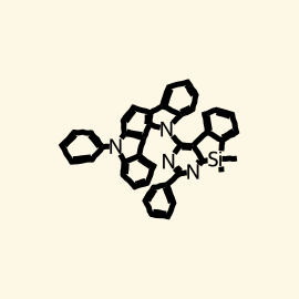 C[Si]1(C)c2ccccc2-c2c(-n3c4ccccc4c4ccc5c(c6ccccc6n5-c5ccccc5)c43)nc(-c3ccccc3)nc21